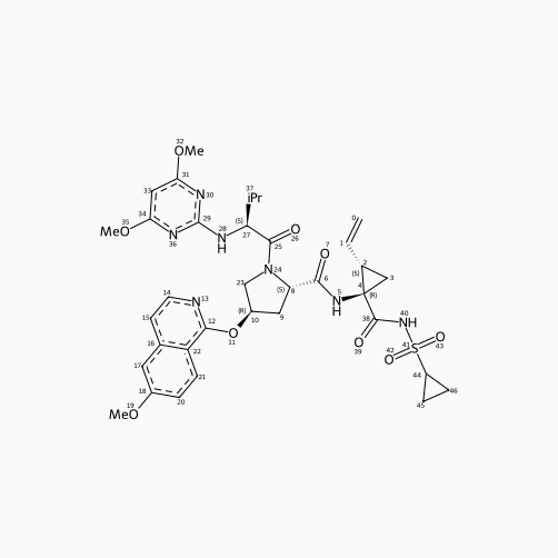 C=C[C@@H]1C[C@]1(NC(=O)[C@@H]1C[C@@H](Oc2nccc3cc(OC)ccc23)CN1C(=O)[C@@H](Nc1nc(OC)cc(OC)n1)C(C)C)C(=O)NS(=O)(=O)C1CC1